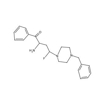 NC(CC(F)N1CCN(Cc2ccccc2)CC1)C(=O)c1ccccc1